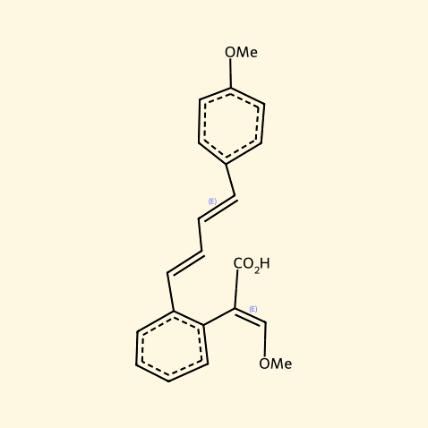 CO/C=C(/C(=O)O)c1ccccc1C=C/C=C/c1ccc(OC)cc1